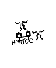 CCC[N+](CCC)(CCC)CCC.CCC[N+](CCC)(CCC)CCC.O=C(O)c1ccccc1Sc1ccccc1C(=O)O